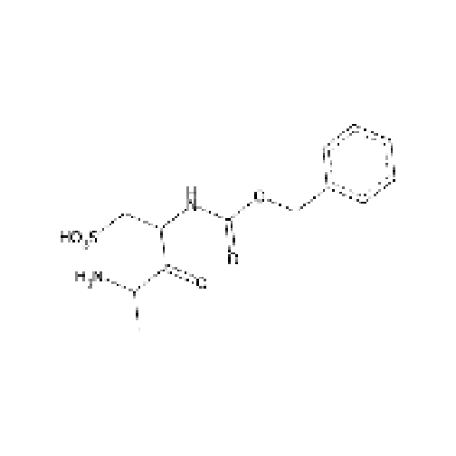 CC(N)C(=O)C(CS(=O)(=O)O)NC(=O)OCc1ccccc1